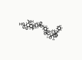 CNC1C=C(C(=O)O)C(=O)c2cc(F)c(N3CCN(C(=O)OCc4ccc(NC(=O)[C@@H](C)CC(=O)[C@@H](NC(=O)OCc5ccccc5)C(C)C)cc4)CC3)cc21